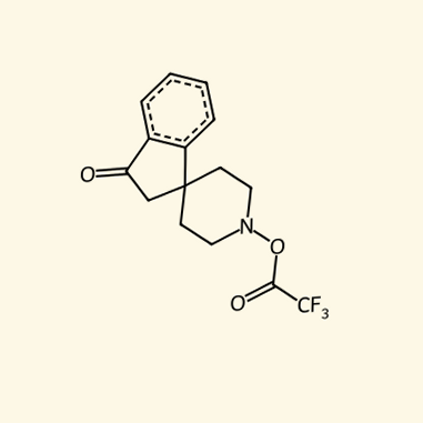 O=C1CC2(CCN(OC(=O)C(F)(F)F)CC2)c2ccccc21